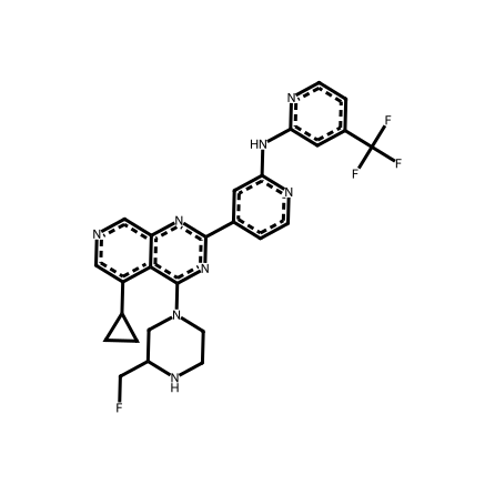 FCC1CN(c2nc(-c3ccnc(Nc4cc(C(F)(F)F)ccn4)c3)nc3cncc(C4CC4)c23)CCN1